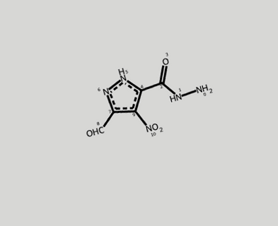 NNC(=O)c1[nH]nc(C=O)c1[N+](=O)[O-]